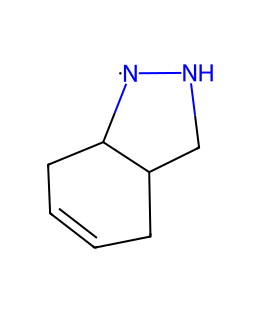 C1=CCC2[N]NCC2C1